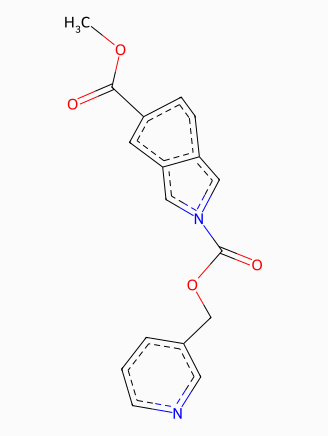 COC(=O)c1ccc2cn(C(=O)OCc3cccnc3)cc2c1